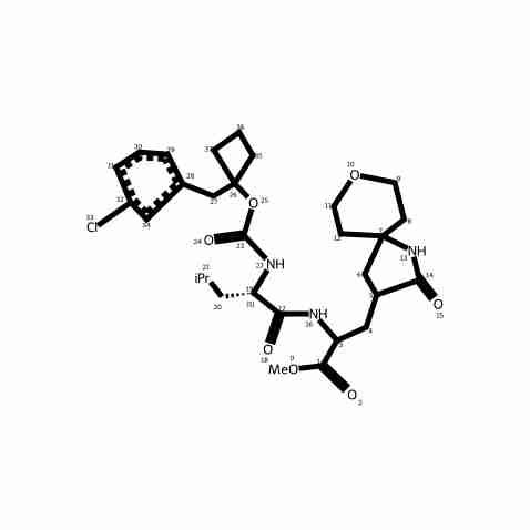 COC(=O)C(CC1CC2(CCOCC2)NC1=O)NC(=O)[C@H](CC(C)C)NC(=O)OC1(Cc2cccc(Cl)c2)CCC1